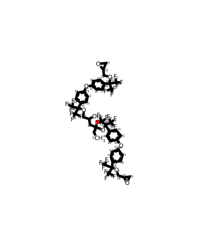 CCC(C)(CC(O)COC(c1ccc(Oc2ccc(C(OCC3CO3)(C(F)(F)F)C(F)(F)F)cc2)cc1)(C(F)(F)F)C(F)(F)F)OC(c1ccc(Oc2ccc(C(OCC3CO3)(C(F)(F)F)C(F)(F)F)cc2)cc1)(C(F)(F)F)C(F)(F)F